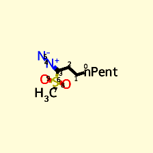 CCCCCCCC(=[N+]=[N-])S(C)(=O)=O